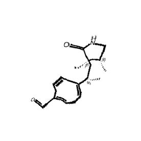 C[C@H](c1ccc(C=O)cc1)[C@@]1(C)C(=O)NC[C@@H]1C